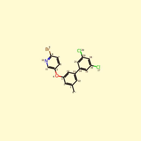 [CH2]c1cc(Oc2ccc(Br)nc2)cc(-c2cc(Cl)cc(Cl)c2)c1